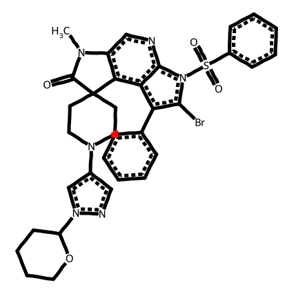 CN1C(=O)C2(CCN(c3cnn(C4CCCCO4)c3)CC2)c2c1cnc1c2c(-c2ccccc2)c(Br)n1S(=O)(=O)c1ccccc1